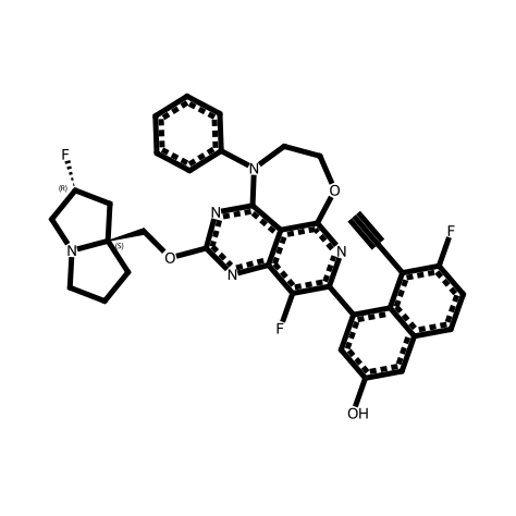 C#Cc1c(F)ccc2cc(O)cc(-c3nc4c5c(nc(OC[C@@]67CCCN6C[C@H](F)C7)nc5c3F)N(c3ccccc3)CCO4)c12